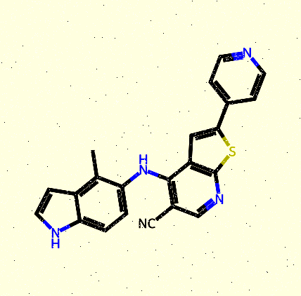 Cc1c(Nc2c(C#N)cnc3sc(-c4ccncc4)cc23)ccc2[nH]ccc12